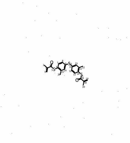 C=C(C)C(=O)Sc1ccc(Sc2ccc(SC(=O)C(=C)C)c(C)c2)cc1C